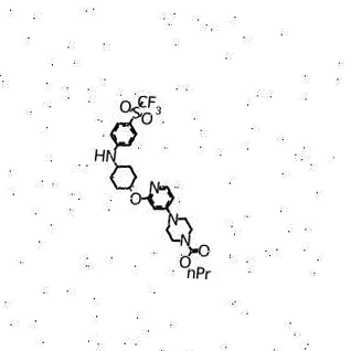 CCCOC(=O)N1CCN(c2ccnc(O[C@H]3CC[C@H](Nc4ccc(S(=O)(=O)C(F)(F)F)cc4)CC3)c2)CC1